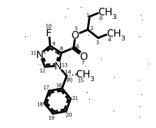 CCC(CC)OC(=O)c1c(F)ncn1[C@H](C)c1ccccc1